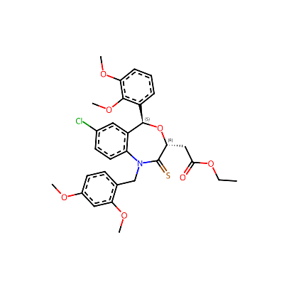 CCOC(=O)C[C@H]1O[C@H](c2cccc(OC)c2OC)c2cc(Cl)ccc2N(Cc2ccc(OC)cc2OC)C1=S